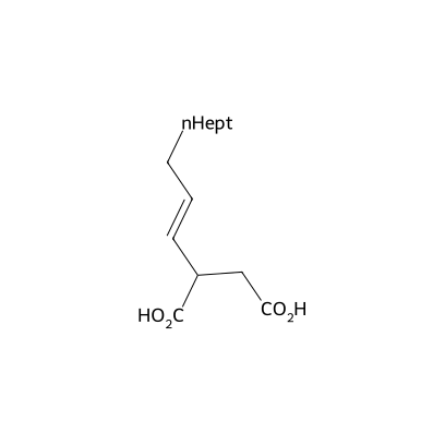 CCCCCCCC/C=C/C(CC(=O)O)C(=O)O